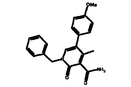 COc1ccc(-c2cn(Cc3ccccc3)c(=O)c(C(N)=O)c2C)cc1